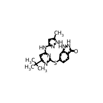 Cc1cc(Nc2cc(C(C)(C)C)nc(Sc3ccc4c(=O)[nH][nH]c4c3)n2)n[nH]1